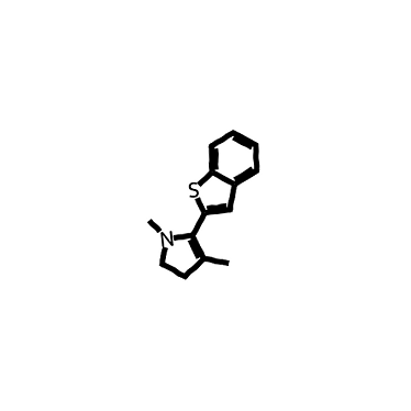 CC1=C(c2cc3ccccc3s2)N(C)CC1